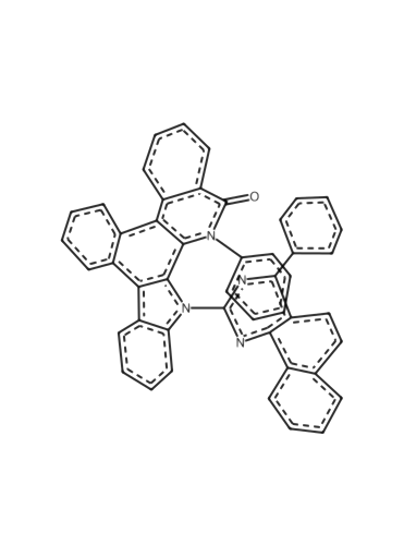 O=c1c2ccccc2c2c3ccccc3c3c4ccccc4n(-c4nc(-c5ccccc5)c5ccc6ccccc6c5n4)c3c2n1-c1ccccc1